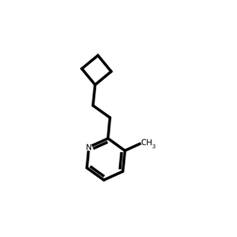 Cc1cccnc1CCC1CCC1